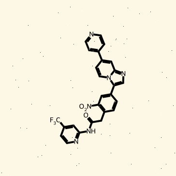 O=C(Cc1ccc(-c2cnc3cc(-c4ccncc4)ccn23)cc1[N+](=O)[O-])Nc1cc(C(F)(F)F)ccn1